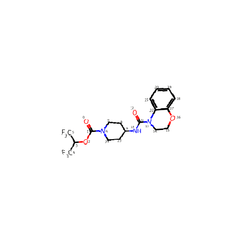 O=C(OC(C(F)(F)F)C(F)(F)F)N1CCC(NC(=O)N2CCOc3ccccc32)CC1